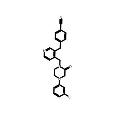 N#Cc1ccc(Cc2cnccc2CN2CCN(c3cccc(Cl)c3)CC2=O)cc1